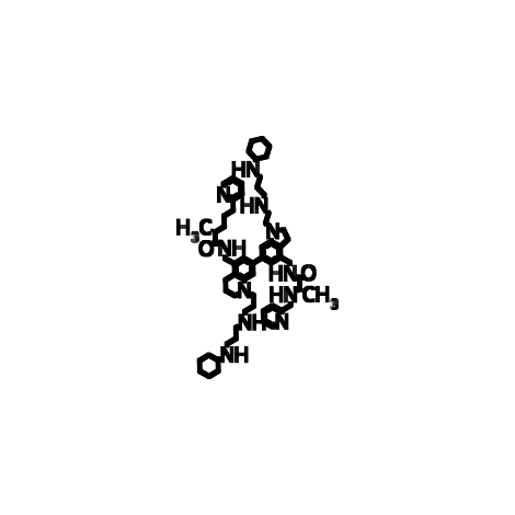 C[C@H](CCCc1ccccn1)C(=O)NCc1cc(-c2cc(CNC(=O)[C@H](C)NCc3ccccn3)c3c(c2)N(CCNCCCNC2CCCCC2)CC3)cc2c1CCCN2CCCNCCCNC1CCCCC1